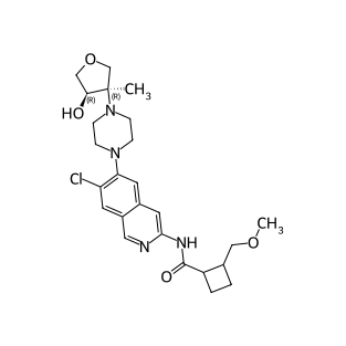 COCC1CCC1C(=O)Nc1cc2cc(N3CCN([C@]4(C)COC[C@@H]4O)CC3)c(Cl)cc2cn1